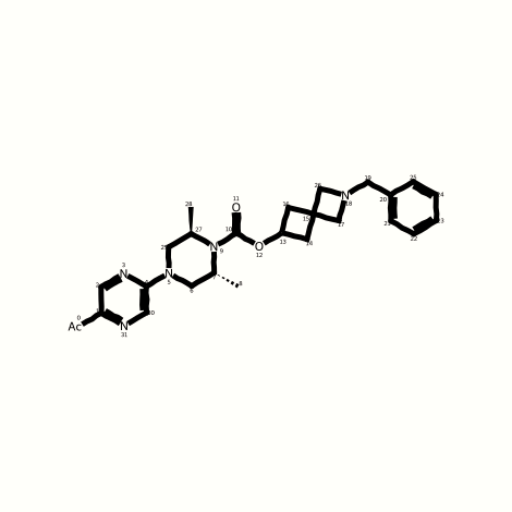 CC(=O)c1cnc(N2C[C@@H](C)N(C(=O)OC3CC4(C3)CN(Cc3ccccc3)C4)[C@H](C)C2)cn1